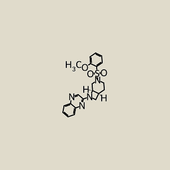 COc1ccccc1S(=O)(=O)N1CC[C@H]2CN(c3cnc4ccccc4n3)[C@H]2C1